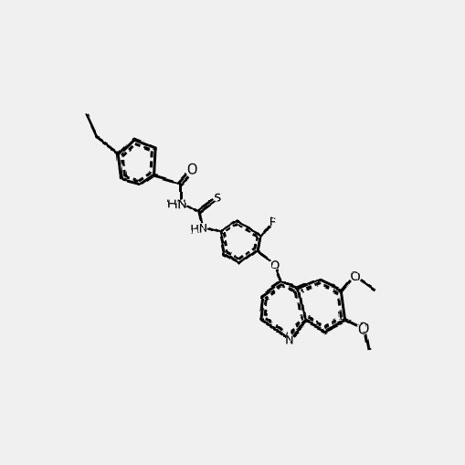 CCc1ccc(C(=O)NC(=S)Nc2ccc(Oc3ccnc4cc(OC)c(OC)cc34)c(F)c2)cc1